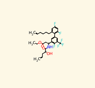 C=CCCCCc1cc(F)cc(F)c1-c1cc([C@H](CC(=O)OCC)NC(=O)[C@H](O)CC=C)c(F)c(C(F)(F)F)c1